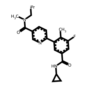 Cc1c(F)cc(C(=O)NC2CC2)cc1-c1ccc(C(=O)N(C)CC(C)C)cn1